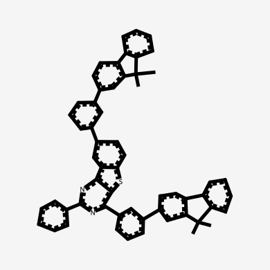 CC1(C)c2ccccc2-c2ccc(-c3cccc(-c4ccc5sc6c(-c7cccc(-c8ccc9c(c8)C(C)(C)c8ccccc8-9)c7)nc(-c7ccccc7)nc6c5c4)c3)cc21